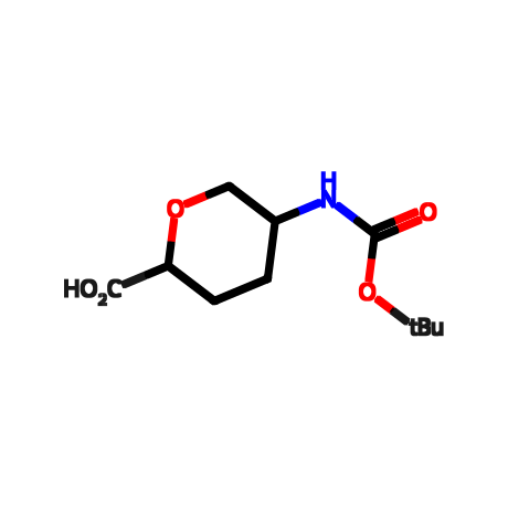 CC(C)(C)OC(=O)NC1CCC(C(=O)O)OC1